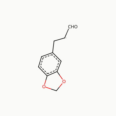 O=C[CH]Cc1ccc2c(c1)OCO2